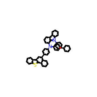 c1ccc(-c2ccc(N(c3ccc(-c4cc5c6ccccc6sc5c5ccccc45)cc3)c3cccc4c5ccccc5n(-c5ccccc5)c34)cc2)cc1